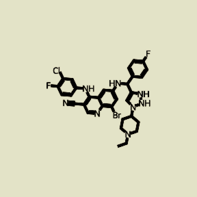 CCN1CCC(N2C=C(C(Nc3cc(Br)c4ncc(C#N)c(Nc5ccc(F)c(Cl)c5)c4c3)c3ccc(F)cc3)NN2)CC1